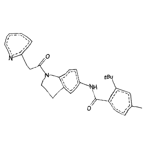 Cc1ccc(C(=O)Nc2ccc3c(c2)CCN3C(=O)Cc2ccccn2)c(C(C)(C)C)c1